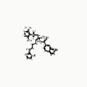 Cc1noc(C)c1S(=O)(=O)NC(CCCCNc1ncc[nH]1)(NC(=O)c1ccc2cn[nH]c2c1)C(=O)O